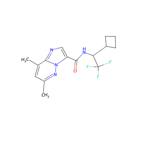 Cc1cc(C)c2ncc(C(=O)NC(C3CCC3)C(F)(F)F)n2n1